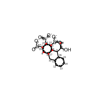 O=C(O)C12c3ccccc3C(c3ccccc31)c1cc([N+](=O)[O-])c([N+](=O)[O-])c([N+](=O)[O-])c12